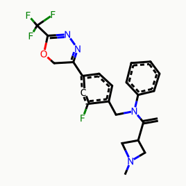 C=C(C1CN(C)C1)N(Cc1ccc(C2=NN=C(C(F)(F)F)OC2)cc1F)c1ccccc1